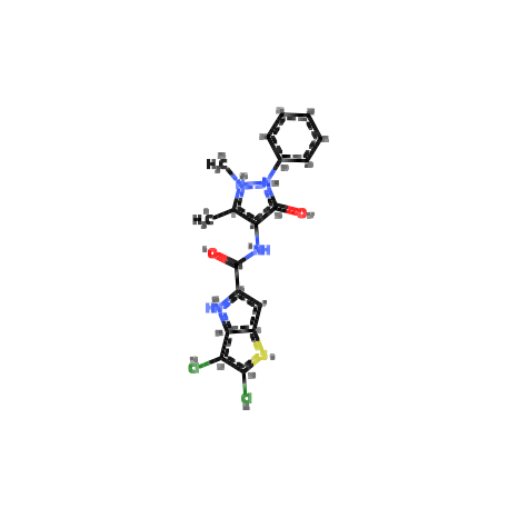 Cc1c(NC(=O)c2cc3sc(Cl)c(Cl)c3[nH]2)c(=O)n(-c2ccccc2)n1C